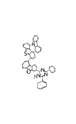 C1=CCCC(C2=NC(c3ccccc3)=NC(c3ccc4c(c3)oc3cccc(-c5cccc6c5sc5cccc(-n7c8ccccc8c8ccccc87)c56)c34)N2)=C1